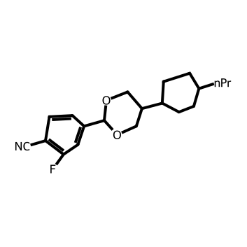 CCCC1CCC(C2COC(c3ccc(C#N)c(F)c3)OC2)CC1